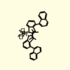 CC(C)C1=Cc2c(-c3cccc4ccccc34)cccc2[CH]1[Hf]([Cl])([Cl])([CH]1C(C(C)C)=Cc2c(-c3cccc4ccccc34)cccc21)[SiH](C)C